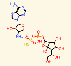 Nc1ncnc2c1ncn2[C@@H]1O[C@H](COP(=O)(S)OP(=O)(O)OC2OC3(O)C2C(O)C(O)C3[C@@H](O)CO)[C@@H](N)[C@H]1O